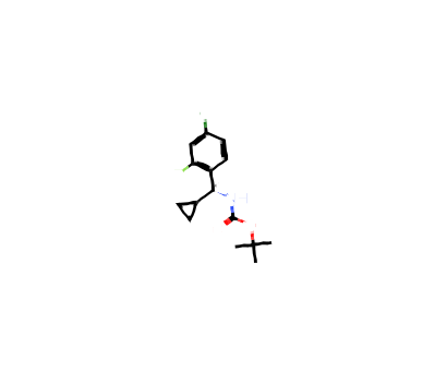 CC(C)(C)OC(=O)N[C@H](c1ccc(Cl)cc1F)C1CC1